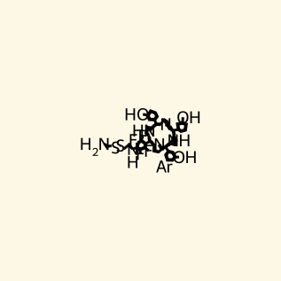 NCCSSCCNc1c(F)c(F)c(-c2c3nc(c(-c4cccc(O)c4)c4ccc([nH]4)c(-c4cccc(O)c4)c4nc(c(-c5cccc(O)c5)c5ccc2[nH]5)C=C4)C=C3)c(F)c1F.[Ar]